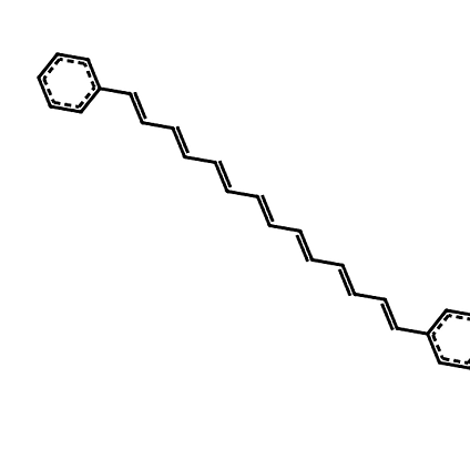 C(=CC=CC=CC=Cc1ccccc1)C=CC=CC=Cc1ccccc1